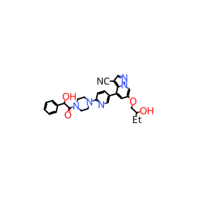 CCC(O)COc1cc(-c2ccc(N3CCN(C(=O)C(O)c4ccccc4)CC3)nc2)c2c(C#N)cnn2c1